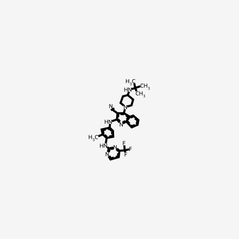 Cc1cc(Nc2nc3ccccc3c(N3CCC(NC(C)(C)C)CC3)c2C#N)ccc1Nc1nccc(C(F)(F)F)n1